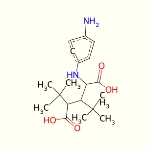 CC(C)(C)C(C(=O)O)C(C(Nc1ccc(N)cc1)C(=O)O)C(C)(C)C